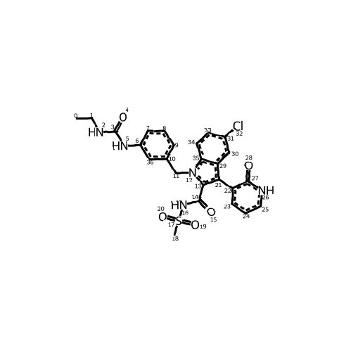 CCNC(=O)Nc1cccc(Cn2c(C(=O)NS(C)(=O)=O)c(-c3ccc[nH]c3=O)c3cc(Cl)ccc32)c1